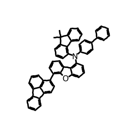 CC1(C)c2ccccc2-c2c(N(c3ccc(-c4ccccc4)cc3)c3cccc4oc5c(-c6ccc7c8c(cccc68)-c6ccccc6-7)cccc5c34)cccc21